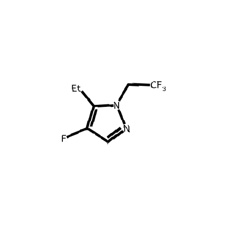 CCc1c(F)[c]nn1CC(F)(F)F